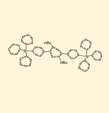 CCCCc1cc(-c2ccc([Si](c3ccccc3)(c3ccccc3)c3ccccc3)cc2)c(CCCC)cc1-c1ccc([Si](c2ccccc2)(c2ccccc2)c2ccccc2)cc1